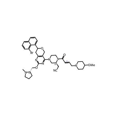 COC1CCN(C/C=C/C(=O)N2CCN(c3nc(OC[C@@H]4CCCN4C)nc4c3COC(c3cccc5cccc(Br)c35)C4)C[C@@H]2CC#N)CC1